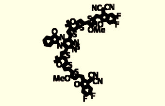 COc1cc(/C=C2/C(=C(C#N)C#N)c3cc(F)c(F)cc3C2O)sc1-c1cc2c(s1)-c1sc(-c3c4nsnc4c(-c4cc5c(s4)-c4sc(-c6sc(/C=C7\C(=O)c8cc(F)c(F)cc8C7=C(C#N)C#N)cc6OC)cc4OC5(C)C)c4nc5c(nc34)C(=O)c3ccccc3-5)cc1C(C)(C)O2